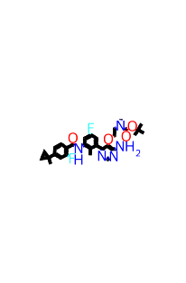 Cc1c(NC(=O)c2ccc(C3(C)CC3)cc2F)cc(F)cc1-c1ncnc(N)c1OCCN(C)C(=O)OC(C)(C)C